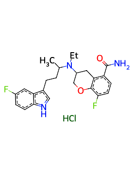 CCN(C(C)CCc1c[nH]c2ccc(F)cc12)C1COc2c(F)ccc(C(N)=O)c2C1.Cl